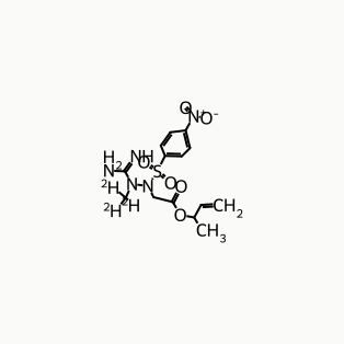 [2H]C([2H])([2H])N(C(=N)N)N(CC(=O)OC(C)C=C)S(=O)(=O)c1ccc([N+](=O)[O-])cc1